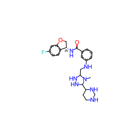 CN1C(CNc2cccc(C(=O)N[C@H]3COc4cc(F)ccc43)c2)NNC1C1CCNCN1